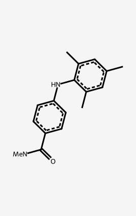 CNC(=O)c1ccc(Nc2c(C)cc(C)cc2C)cc1